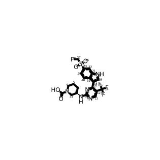 O=C(O)N1CCC[C@H](Nc2ncc(C(F)(F)F)c(-c3c[nH]c4cc(S(=O)(=O)CF)ccc34)n2)C1